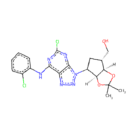 CC1(C)O[C@@H]2[C@@H](CO)CC(n3nnc4c(Nc5ccccc5Cl)nc(Cl)nc43)[C@@H]2O1